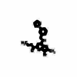 CCOC(=O)c1cc(NCc2cccc(-n3cccn3)c2)n2nc(C)c(Br)c2n1